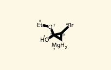 CCOC1(O)CC1Br.[MgH2]